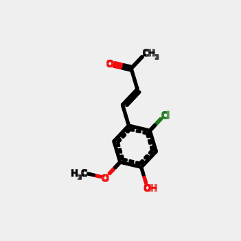 COc1cc(/C=C/C(C)=O)c(Cl)cc1O